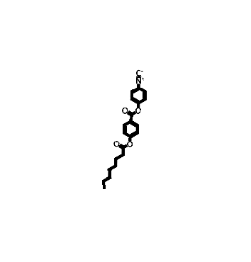 [C-]#[N+]c1ccc(OC(=O)c2ccc(OC(=O)CCCCCCC)cc2)cc1